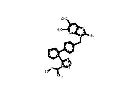 CCCCc1nc2cc(C=O)c(C)nc2n1Cc1ccc(-c2ccccc2-c2nnnn2C(C)OCC)cc1